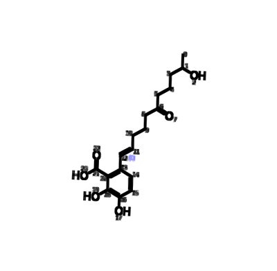 CC(O)CCCC(=O)CCC/C=C/c1ccc(O)c(O)c1C(=O)O